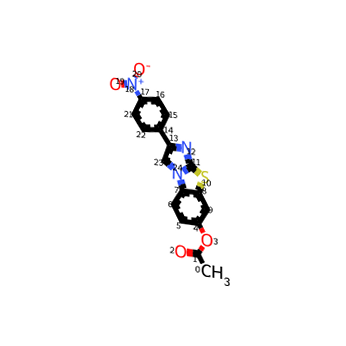 CC(=O)Oc1ccc2c(c1)sc1nc(-c3ccc([N+](=O)[O-])cc3)cn12